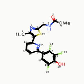 COC(=O)NCc1nc(C)c(-c2cccc(-c3cc(F)c(O)c(F)c3F)n2)s1